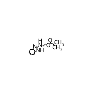 C=C(C)C(=O)OCCNc1nc2ccccc2[nH]1